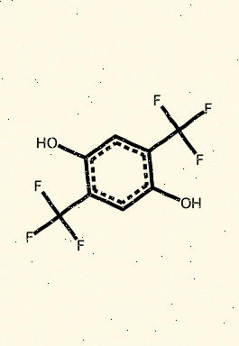 Oc1cc(C(F)(F)F)c(O)cc1C(F)(F)F